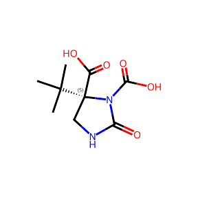 CC(C)(C)[C@@]1(C(=O)O)CNC(=O)N1C(=O)O